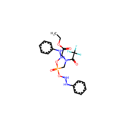 CCOC(=O)CN(CP(=O)(ONNc1ccccc1)ONNc1ccccc1)C(=O)C(F)(F)F